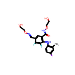 Cc1cc(I)ccc1Nc1c(C(=O)NOCCO)cc(/C=N/OCCO)c(F)c1F